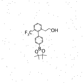 CC1(C)OB(c2ccc(-c3c(CCO)cccc3C(F)(F)F)cc2)OC1(C)C